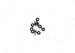 c1ccc(-c2ccc(-c3nc(-c4ccccc4)nc(-c4cccc(-c5ccc6ccc7sc(-c8ccccc8)nc7c6c5)c4)n3)cc2)cc1